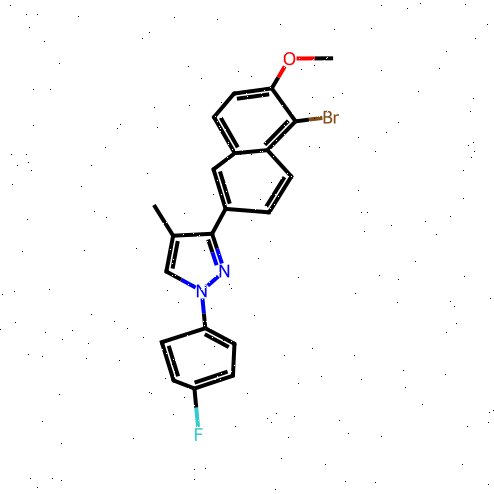 COc1ccc2cc(-c3nn(-c4ccc(F)cc4)cc3C)ccc2c1Br